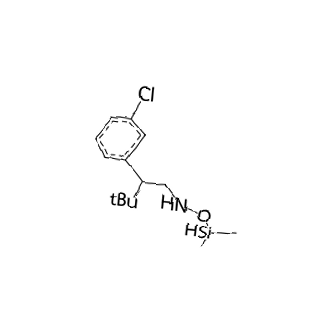 C[SiH](C)ONCC(c1cccc(Cl)c1)C(C)(C)C